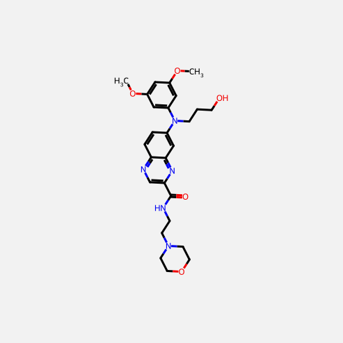 COc1cc(OC)cc(N(CCCO)c2ccc3ncc(C(=O)NCCN4CCOCC4)nc3c2)c1